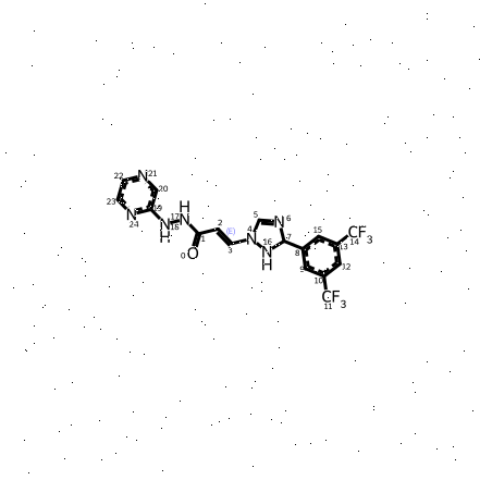 O=C(/C=C/N1C=NC(c2cc(C(F)(F)F)cc(C(F)(F)F)c2)N1)NNc1cnccn1